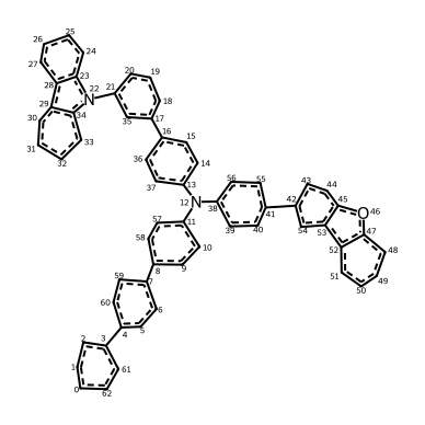 c1ccc(-c2ccc(-c3ccc(N(c4ccc(-c5cccc(-n6c7ccccc7c7ccccc76)c5)cc4)c4ccc(-c5ccc6oc7ccccc7c6c5)cc4)cc3)cc2)cc1